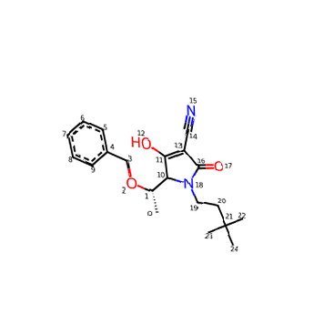 C[C@H](OCc1ccccc1)C1C(O)=C(C#N)C(=O)N1CCC(C)(C)C